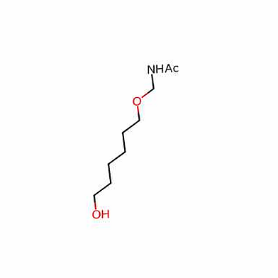 CC(=O)NCOCCCCCCO